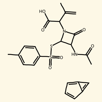 C=C(C)C(C(=O)O)N1C(=O)C(NC(C)=O)C1SS(=O)(=O)c1ccc(C)cc1.c1cc2cc-2c1